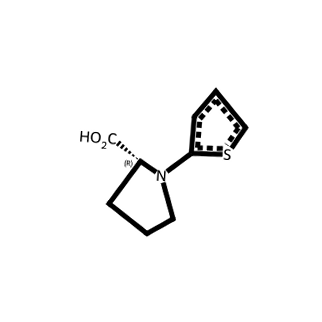 O=C(O)[C@H]1CCCN1c1cccs1